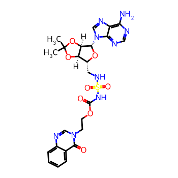 CC1(C)O[C@@H]2[C@H](O1)[C@@H](CNS(=O)(=O)NC(=O)OCCn1cnc3ccccc3c1=O)O[C@H]2n1cnc2c(N)ncnc21